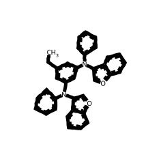 CCc1cc(N(c2ccccc2)c2coc3ccccc23)cc(N(c2ccccc2)c2coc3ccccc23)c1